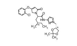 CC[C@@H](C)CC(C(=O)Nc1ccn(C[C@@H]2COC(C)(C)O2)n1)N1CC(Oc2ccccc2Cl)=CC1=O